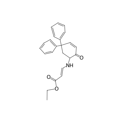 CCOC(=O)C=CNC1CC(c2ccccc2)(c2ccccc2)C=CC1=O